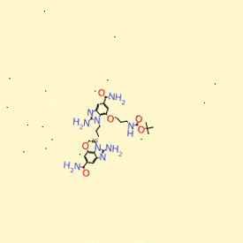 CC(C)(C)OC(=O)NCCCOc1cc(C(N)=O)cc2nc(N)n(CCC[C@H]3COc4cc(C(N)=O)cc5nc(N)n3c45)c12